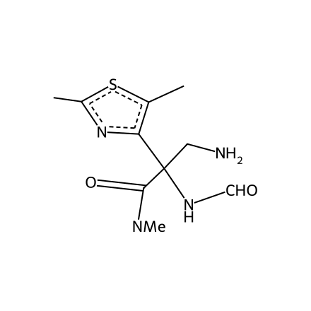 CNC(=O)C(CN)(NC=O)c1nc(C)sc1C